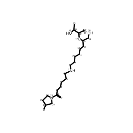 C=C(CCCCCNCCCCCCC(CO)OC(CC)C(C)O)N1CCC(C)C1